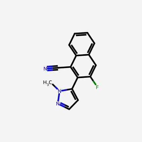 Cn1nccc1-c1c(F)cc2ccccc2c1C#N